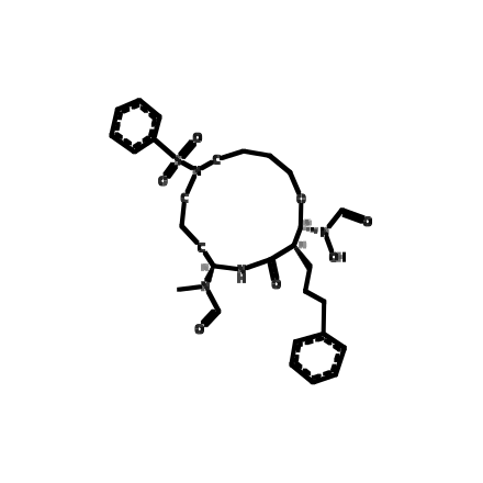 CN(C=O)[C@H]1CCCN(S(=O)(=O)c2ccccc2)CCCCO[C@H](N(O)C=O)[C@@H](CCCc2ccccc2)C(=O)N1